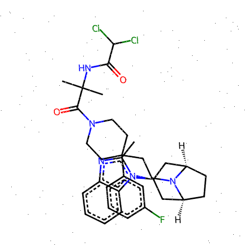 Cc1nc2ccccc2n1[C@H]1C[C@H]2CC[C@@H](C1)N2CCC1(c2cccc(F)c2)CCN(C(=O)C(C)(C)NC(=O)C(Cl)Cl)CC1